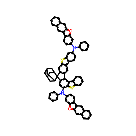 c1ccc(N(c2ccc3c(c2)oc2cc4ccccc4cc23)c2ccc3c(c2)sc2cc4c(cc23)-c2c(cc(N(c3ccccc3)c3ccc5c(c3)oc3cc6ccccc6cc35)c3sc5ccccc5c23)C42C3CC4CC(C3)CC2C4)cc1